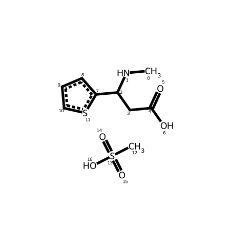 CNC(CC(=O)O)c1cccs1.CS(=O)(=O)O